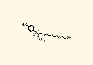 COC(COCCOCCOCCO)S(=O)(=O)c1ccc(C)cc1